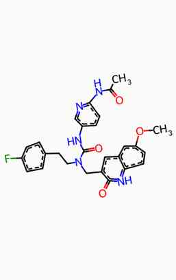 COc1ccc2[nH]c(=O)c(CN(CCc3ccc(F)cc3)C(=O)Nc3ccc(NC(C)=O)nc3)cc2c1